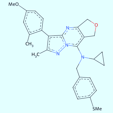 COc1ccc(-c2c(C)nn3c(N(Cc4ccc(SC)cc4)C4CC4)c4c(nc23)COC4)c(C)c1